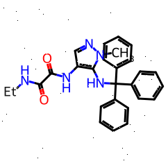 [CH2]CNC(=O)C(=O)Nc1cnn(C)c1NC(c1ccccc1)(c1ccccc1)c1ccccc1